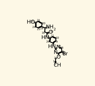 C#CCOc1nc(Nc2cccc(NC(=O)CC(N)c3ccc(O)cc3)c2)ncc1Br